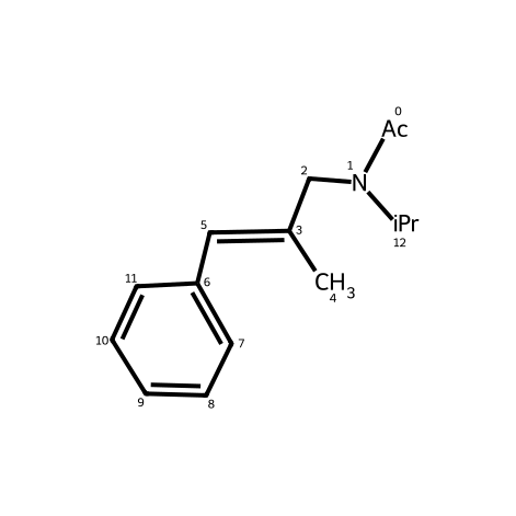 CC(=O)N(C/C(C)=C/c1ccccc1)C(C)C